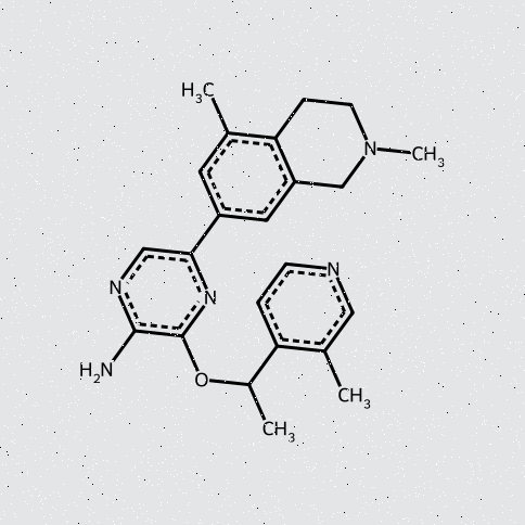 Cc1cnccc1C(C)Oc1nc(-c2cc(C)c3c(c2)CN(C)CC3)cnc1N